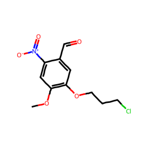 COc1cc([N+](=O)[O-])c(C=O)cc1OCCCCl